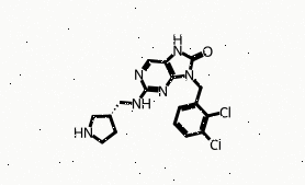 O=c1[nH]c2cnc(NC[C@@H]3CCNC3)nc2n1Cc1cccc(Cl)c1Cl